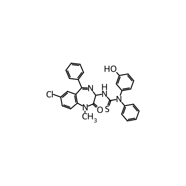 CN1C(=O)C(NC(=S)N(c2ccccc2)c2cccc(O)c2)N=C(c2ccccc2)c2cc(Cl)ccc21